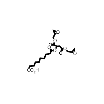 O=C(O)CCCCCCCCC(=O)OC(CC(=O)OCC1CO1)C(=O)OCC1CO1